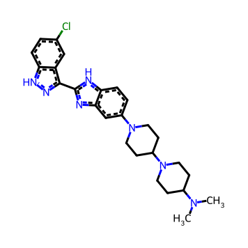 CN(C)C1CCN(C2CCN(c3ccc4[nH]c(-c5n[nH]c6ccc(Cl)cc56)nc4c3)CC2)CC1